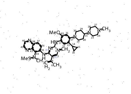 C=N/C=C(C(=C)C)\C(=N/CNc1cc(C2CC2)c(N2CCC(N3CCN(C)CC3)CC2)cc1OC)Nc1ccc2nccnc2c1N(C)SC